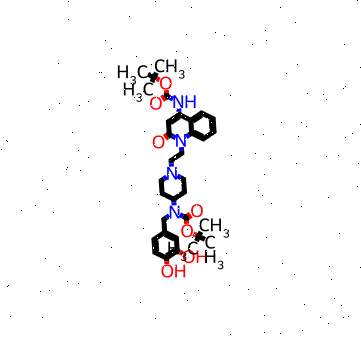 CC(C)(C)OC(=O)Nc1cc(=O)n(CCN2CCC(N(Cc3ccc(O)c(O)c3)C(=O)OC(C)(C)C)CC2)c2ccccc12